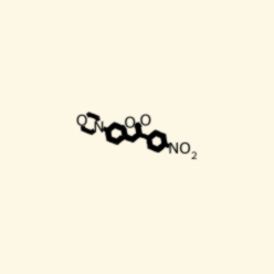 O=c1oc2cc(N3CCOCC3)ccc2cc1-c1ccc([N+](=O)[O-])cc1